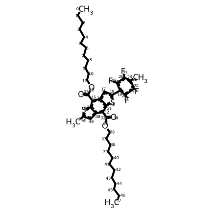 CCCCCCCCCCCCOC(=O)c1c2cc(-c3c(F)c(F)c(C)c(F)c3F)sc2c(C(=O)OCCCCCCCCCCCC)c2cc(C)sc12